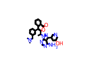 CC(c1oc(=O)c2ccccc2c1-c1cccc(CN(C)C)c1)n1nc(-c2cncc(O)c2)c2c(N)ncnc21